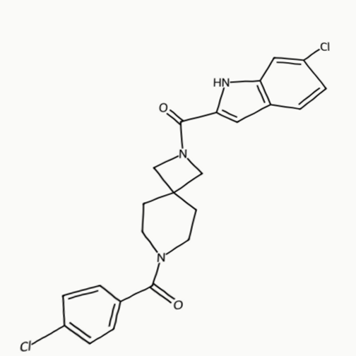 O=C(c1ccc(Cl)cc1)N1CCC2(CC1)CN(C(=O)c1cc3ccc(Cl)cc3[nH]1)C2